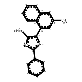 CCCCCCc1[nH]c(-c2ccccc2)nc1-c1cc(C)cc2ccccc12